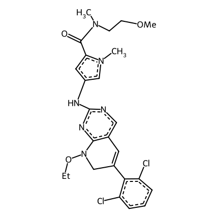 CCON1CC(c2c(Cl)cccc2Cl)=Cc2cnc(Nc3cc(C(=O)N(C)CCOC)n(C)c3)nc21